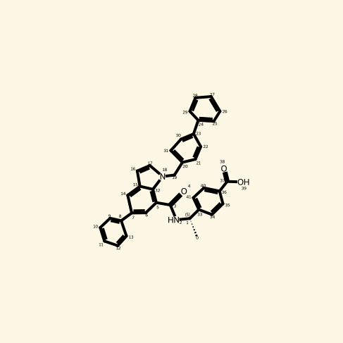 C[C@H](NC(=O)c1cc(-c2ccccc2)cc2ccn(Cc3ccc(-c4ccccc4)cc3)c12)c1ccc(C(=O)O)cc1